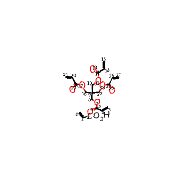 C=CC(=O)O.C=CC(=O)OCC(COC(=O)C=C)(COC(=O)C=C)COC(=O)C=C